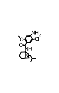 COc1cc(N)c(Cl)cc1C(=O)NC12CCCC(CC1)N2CC(C)C